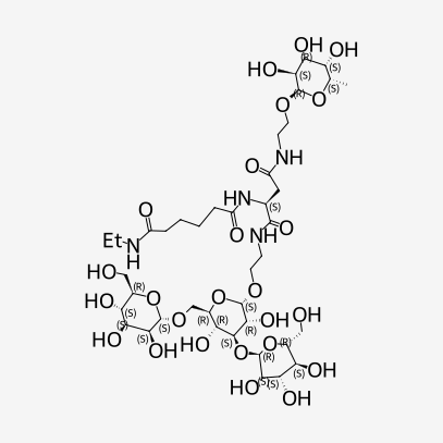 CCNC(=O)CCCCC(=O)N[C@@H](CC(=O)NCCO[C@@H]1O[C@@H](C)[C@@H](O)[C@@H](O)[C@@H]1O)C(=O)NCCO[C@H]1O[C@H](CO[C@H]2O[C@H](CO)[C@@H](O)[C@H](O)[C@@H]2O)[C@@H](O)[C@H](O[C@H]2O[C@H](CO)[C@@H](O)[C@H](O)[C@@H]2O)[C@H]1O